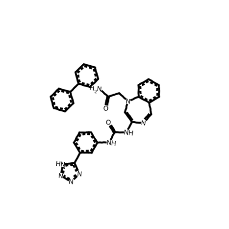 NC(=O)CN1C=C(NC(=O)Nc2cccc(-c3nnn[nH]3)c2)N=Cc2ccccc21.c1ccc(-c2ccccc2)cc1